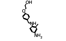 Cc1cc(N)ccc1NCc1ccc(OCCO)cc1